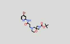 CC(C)(C)OC(=O)N1CC2(CN(CCC(=O)Nc3cc(Br)ccn3)CCO2)C1